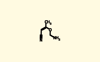 CC(=CC#N)OCN